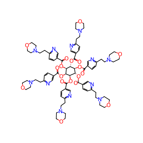 O=C(O[C@H]1[C@H](OC(=O)c2ccc(CCN3CCOCC3)nc2)[C@@H](OC(=O)c2ccc(CCN3CCOCC3)nc2)[C@H](OC(=O)c2ccc(CCN3CCOCC3)nc2)[C@@H](OC(=O)c2ccc(CCN3CCOCC3)nc2)[C@H]1OC(=O)c1ccc(CCN2CCOCC2)nc1)c1ccc(CCN2CCOCC2)nc1